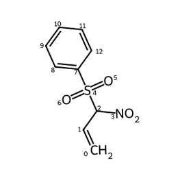 C=CC([N+](=O)[O-])S(=O)(=O)c1ccccc1